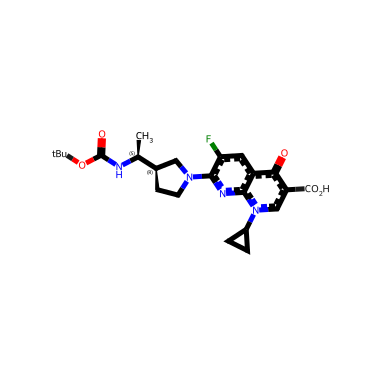 C[C@H](NC(=O)OC(C)(C)C)[C@@H]1CCN(c2nc3c(cc2F)c(=O)c(C(=O)O)cn3C2CC2)C1